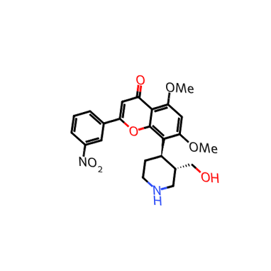 COc1cc(OC)c2c(=O)cc(-c3cccc([N+](=O)[O-])c3)oc2c1[C@@H]1CCNC[C@H]1CO